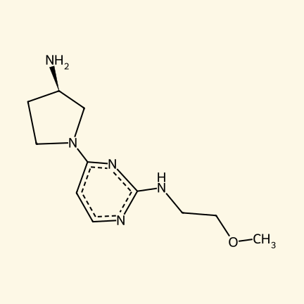 COCCNc1nccc(N2CC[C@@H](N)C2)n1